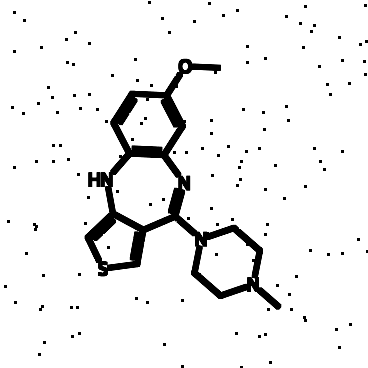 COc1ccc2c(c1)N=C(N1CCN(C)CC1)c1cscc1N2